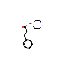 O=[C]N(C(=O)CCc1ccccc1)N1CCNCC1